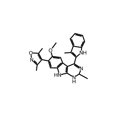 COc1cc2c3c([nH]c2cc1-c1c(C)noc1C)NC(C)N=C3c1[nH]c2ccccc2c1C